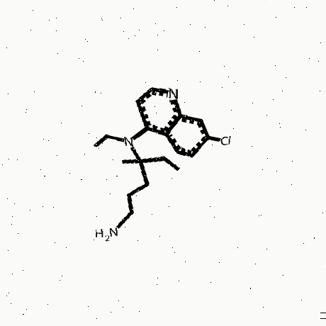 CCN(c1ccnc2cc(Cl)ccc12)C(C)(CC)CCCN